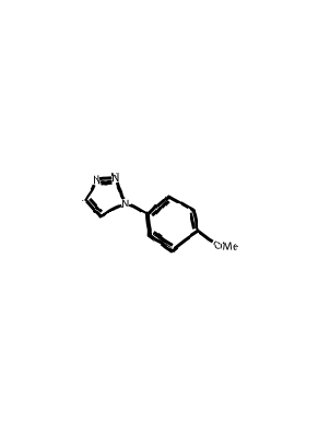 COc1ccc(-n2c[c]nn2)cc1